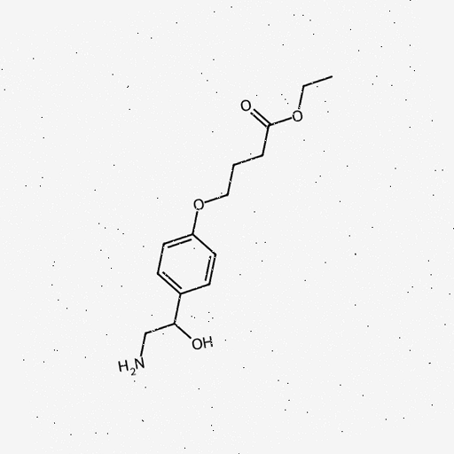 CCOC(=O)CCCOc1ccc(C(O)CN)cc1